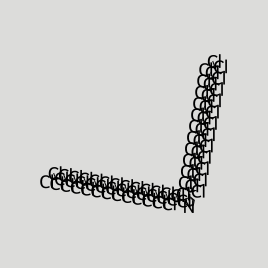 ClC(Cl)Cl.ClC(Cl)Cl.ClC(Cl)Cl.ClC(Cl)Cl.ClC(Cl)Cl.ClC(Cl)Cl.ClC(Cl)Cl.ClC(Cl)Cl.ClC(Cl)Cl.ClC(Cl)Cl.ClC(Cl)Cl.ClC(Cl)Cl.ClC(Cl)Cl.ClC(Cl)Cl.ClC(Cl)Cl.ClC(Cl)Cl.ClC(Cl)Cl.ClC(Cl)Cl.ClC(Cl)Cl.ClC(Cl)Cl.ClC(Cl)Cl.ClC(Cl)Cl.ClC(Cl)Cl.ClC(Cl)Cl.ClC(Cl)Cl.c1ccncc1